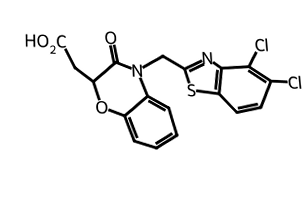 O=C(O)CC1Oc2ccccc2N(Cc2nc3c(Cl)c(Cl)ccc3s2)C1=O